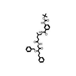 CC(CCC(=O)NCC(=O)C(CCc1ccccc1)OCc1ccccc1)CNC(=O)c1cccc(NC(=O)OC(C)(C)C)c1